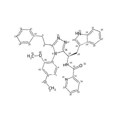 COc1ccc(-n2c(CCc3ccccc3)nnc2[C@@H](Cc2c[nH]c3ccccc23)NC(=O)c2ccccn2)c(OC)c1